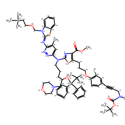 COC(=O)c1nc(N(CCCC(CN2CCOCC2)O[Si](c2ccccc2)(c2ccccc2)C(C)(C)C)c2cc(C)c(/N=c3\sc4ccccc4n3COCC[Si](C)(C)C)nn2)sc1CCCOc1ccc(C#CCN(C)C(=O)OC(C)(C)C)cc1F